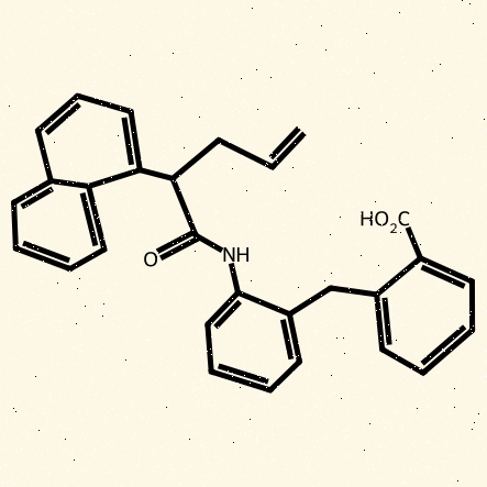 C=CCC(C(=O)Nc1ccccc1Cc1ccccc1C(=O)O)c1cccc2ccccc12